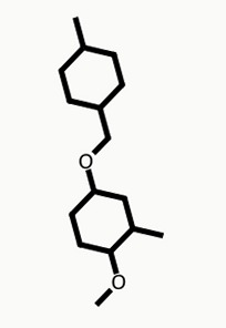 COC1CCC(OCC2CCC(C)CC2)CC1C